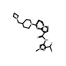 Cn1cc(NC(=O)c2cnn3ccc(N4CCC(CN5CCC5)CC4)nc23)c(C(F)F)n1